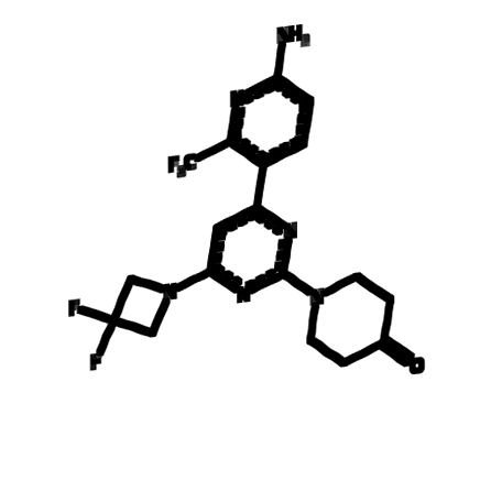 Nc1ccc(-c2cc(N3CC(F)(F)C3)nc(N3CCC(=O)CC3)n2)c(C(F)(F)F)n1